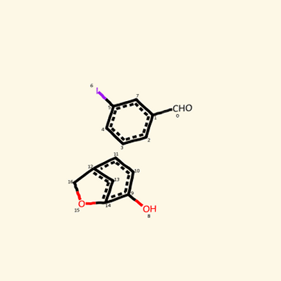 O=Cc1cccc(I)c1.Oc1ccc2cc1OC2